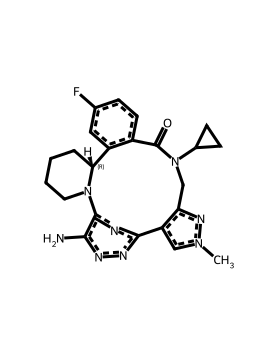 Cn1cc2c(n1)CN(C1CC1)C(=O)c1ccc(F)cc1[C@H]1CCCCN1c1nc-2nnc1N